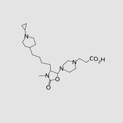 CN1C(=O)OC(N2CCN(CCC(=O)O)CC2)C1CCCCC1CCN(C2CC2)CC1